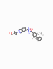 Cc1cc(-c2nc(-c3ccc4c(c3)CN([C@H]3C[C@H](C=O)C3)C4)no2)cc(C)c1-c1ccccc1